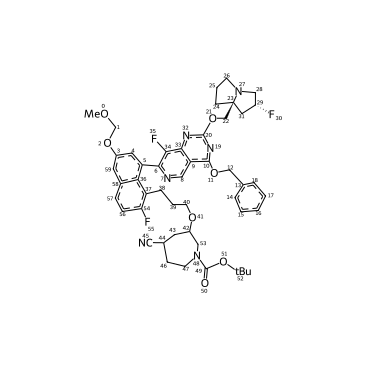 COCOc1cc(-c2ncc3c(OCc4ccccc4)nc(OC[C@@]45CCCN4C[C@H](F)C5)nc3c2F)c2c(CCCOC3CC(C#N)CCN(C(=O)OC(C)(C)C)C3)c(F)ccc2c1